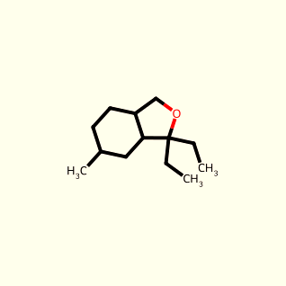 CCC1(CC)OCC2CCC(C)CC21